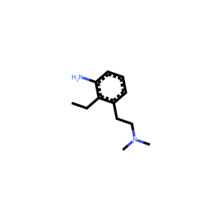 CCc1c(N)cccc1CCN(C)C